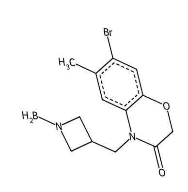 BN1CC(CN2C(=O)COc3cc(Br)c(C)cc32)C1